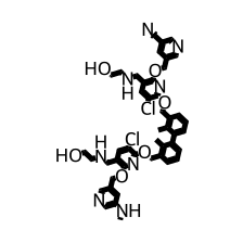 CNc1cncc(COc2nc(OCc3cccc(-c4cccc(COc5nc(OCc6cncc(C#N)c6)c(CNCCO)cc5Cl)c4C)c3C)c(Cl)cc2CNCCO)c1